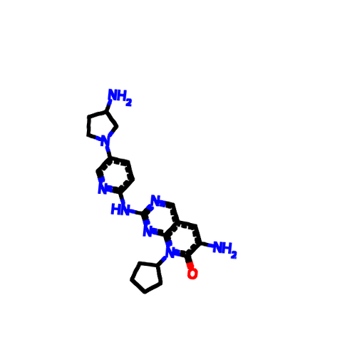 Nc1cc2cnc(Nc3ccc(N4CCC(N)C4)cn3)nc2n(C2CCCC2)c1=O